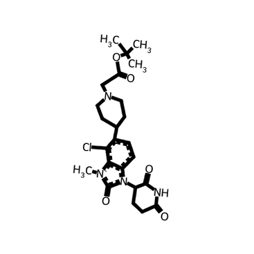 Cn1c(=O)n(C2CCC(=O)NC2=O)c2ccc(C3CCN(CC(=O)OC(C)(C)C)CC3)c(Cl)c21